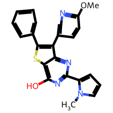 COc1ccc(-c2c(-c3ccccc3)sc3c(O)nc(-c4cccn4C)nc23)cn1